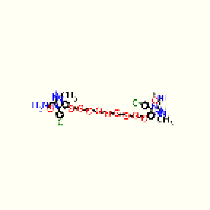 CCNC(=O)C[C@@H]1N=C(c2ccc(Cl)cc2)c2cc(OCCOCCOCCOCCOCCOCCOCCOCCOc3ccc4c(c3)C(c3ccc(Cl)cc3)=N[C@@H](CC(N)=O)c3nnc(C)n3-4)ccc2-n2c(C)nnc21